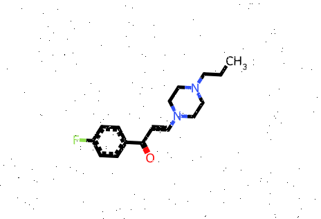 CCCN1CCN(C=CC(=O)c2ccc(F)cc2)CC1